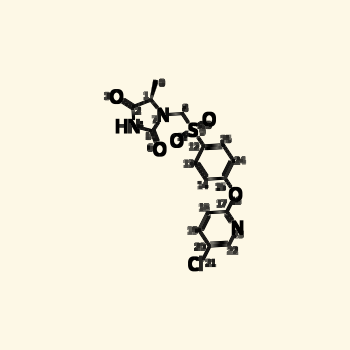 C[C@@H]1C(=O)NC(=O)N1CS(=O)(=O)c1ccc(Oc2ccc(Cl)cn2)cc1